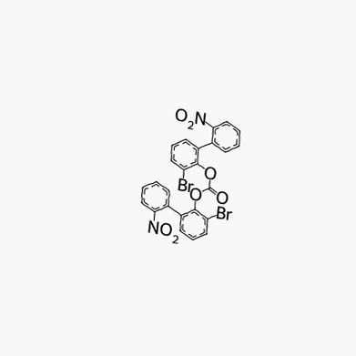 O=C(Oc1c(Br)cccc1-c1ccccc1[N+](=O)[O-])Oc1c(Br)cccc1-c1ccccc1[N+](=O)[O-]